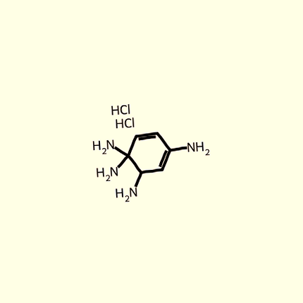 Cl.Cl.NC1=CC(N)C(N)(N)C=C1